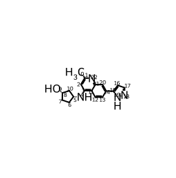 Cc1cc(N[C@@H]2CC[C@H](O)C2)c2ccc(-c3ccn[nH]3)cc2n1